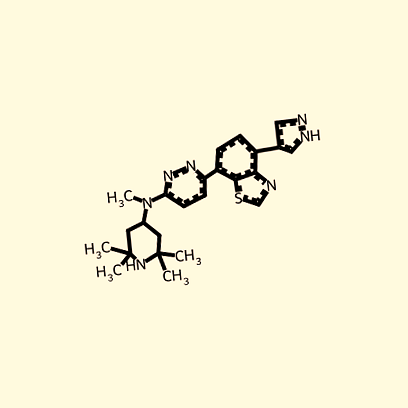 CN(c1ccc(-c2ccc(-c3cn[nH]c3)c3ncsc23)nn1)C1CC(C)(C)NC(C)(C)C1